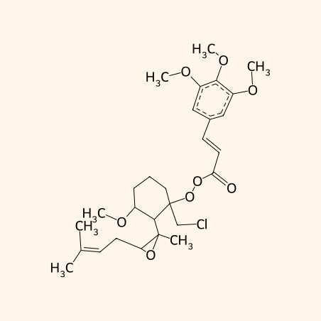 COc1cc(/C=C/C(=O)OOC2(CCl)CCCC(OC)C2C2(C)OC2CC=C(C)C)cc(OC)c1OC